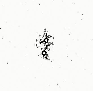 CCC(Oc1ccc(C(C)(C)CC)cc1C(C)(C)CC)C(=O)Nc1ccc2nc(C)sc2c1